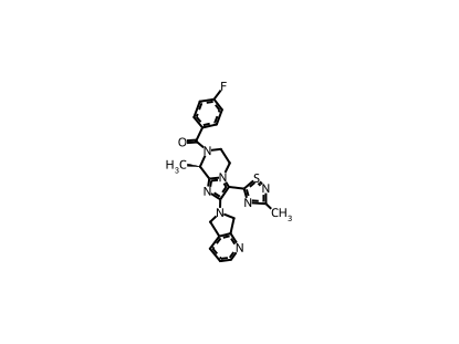 Cc1nsc(-c2c(N3Cc4cccnc4C3)nc3n2CCN(C(=O)c2ccc(F)cc2)[C@@H]3C)n1